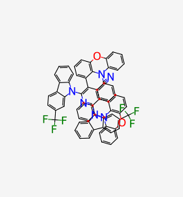 N#Cc1c(-c2cccc3c2N(c2ccccc2)c2ccccc2O3)c(-n2c3ccccc3c3ccc(C(F)(F)F)cc32)nc(-n2c3ccccc3c3ccc(C(F)(F)F)cc32)c1-c1cccc2c1N(c1ccccc1)c1ccccc1O2